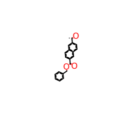 O=[C]c1ccc2cc(C(=O)OCc3ccccc3)ccc2c1